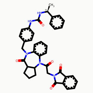 C[C@H](NC(=O)Nc1ccc(CN2C(=O)C3CCCC3N(C(=O)CN3C(=O)c4ccccc4C3=O)c3ccccc32)cc1)c1ccccc1